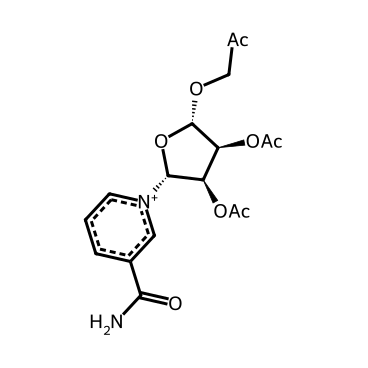 CC(=O)CO[C@H]1O[C@@H]([n+]2cccc(C(N)=O)c2)[C@H](OC(C)=O)[C@@H]1OC(C)=O